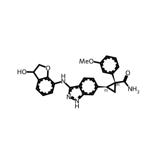 COc1cccc([C@@]2(C(N)=O)C[C@H]2c2ccc3c(Nc4cccc5c4OCC5O)n[nH]c3c2)c1